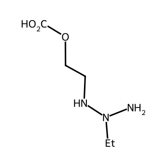 CCN(N)NCCOC(=O)O